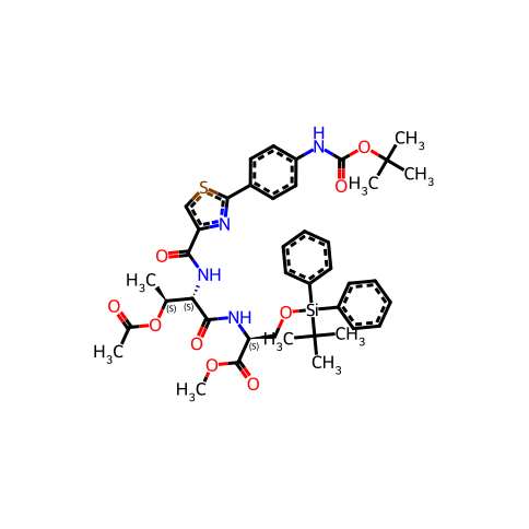 COC(=O)[C@H](CO[Si](c1ccccc1)(c1ccccc1)C(C)(C)C)NC(=O)[C@@H](NC(=O)c1csc(-c2ccc(NC(=O)OC(C)(C)C)cc2)n1)[C@H](C)OC(C)=O